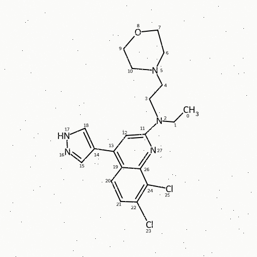 CCN(CCN1CCOCC1)c1cc(-c2cn[nH]c2)c2ccc(Cl)c(Cl)c2n1